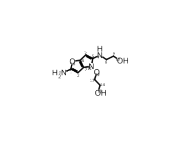 Nc1cc2c(cc(NCCO)n2OCCO)o1